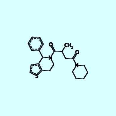 CC(CC(=O)N1CCCCC1)C(=O)N1CCc2sccc2C1c1ccccc1